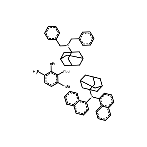 CCCCc1ccc(P)c(CCCC)c1CCCC.c1ccc(CP(Cc2ccccc2)C23CC4CC(CC(C4)C2)C3)cc1.c1ccc2c(P(c3cccc4ccccc34)C34CC5CC(CC(C5)C3)C4)cccc2c1